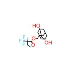 CCC(C)(C(=O)OCC12CC3CC(O)(CC(O)(C3)C1)C2)C(F)(F)F